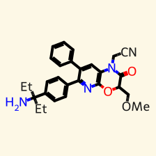 CCC(N)(CC)c1ccc(-c2nc3c(cc2-c2ccccc2)N(CC#N)C(=O)C(COC)O3)cc1